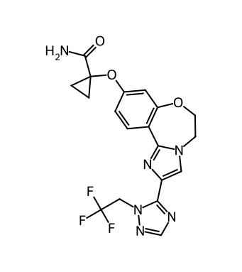 NC(=O)C1(Oc2ccc3c(c2)OCCn2cc(-c4ncnn4CC(F)(F)F)nc2-3)CC1